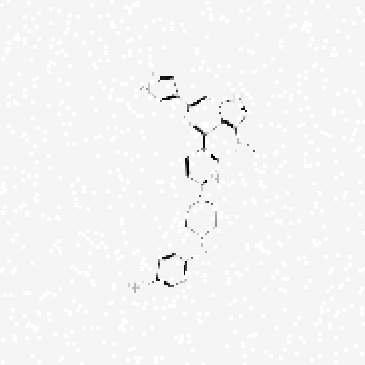 Cn1cc(-c2cn3ncc(C#N)c3c(-c3ccc(N4CCC(Oc5ccc(C#N)cc5)CC4)nc3)n2)cn1